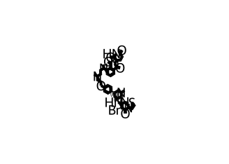 CN(CCOc1ccc([C@H]2C[C@@H](Nc3nc4sccn4c(=O)c3Br)CN(C)C2)cc1)CCN(C)c1cccc2c1C(=O)N(C1CCC(=O)NC1=O)C2=O